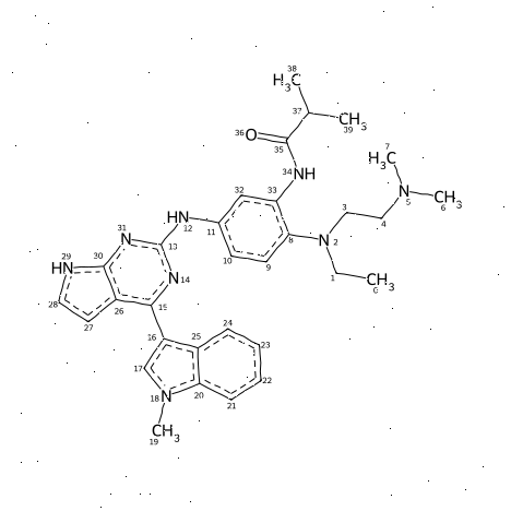 CCN(CCN(C)C)c1ccc(Nc2nc(-c3cn(C)c4ccccc34)c3cc[nH]c3n2)cc1NC(=O)C(C)C